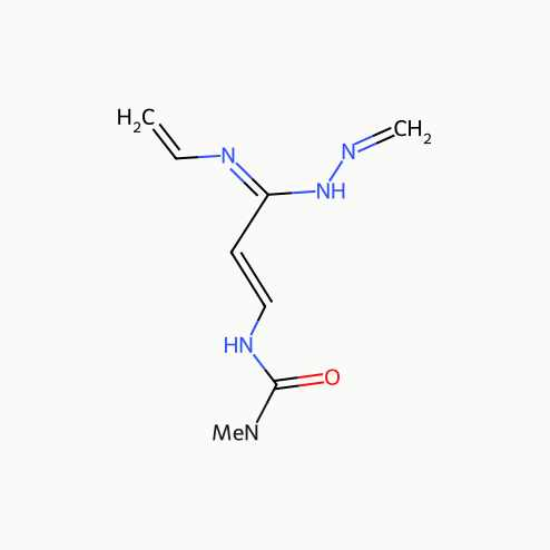 C=C/N=C(\C=C\NC(=O)NC)NN=C